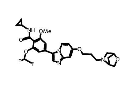 COc1cc(-c2cnc3cc(OCCCN4CC5CC4CO5)ccn23)cc(OC(F)F)c1C(=O)NC1CC1